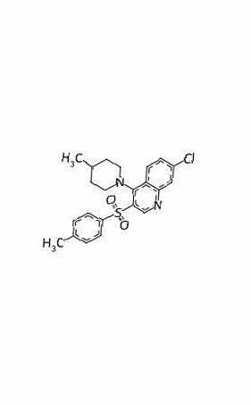 Cc1ccc(S(=O)(=O)c2cnc3cc(Cl)ccc3c2N2CCC(C)CC2)cc1